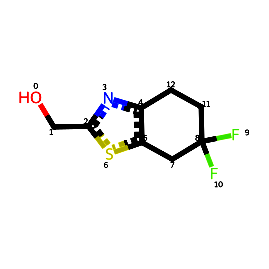 OCc1nc2c(s1)CC(F)(F)CC2